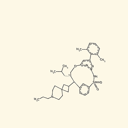 CCCN1CCC2(CC1)CC(C1c3cccc(c3)S(=O)(=O)Nc3nc(cc(-c4c(C)cccc4C)n3)OC[C@H]1CC(C)C)C2